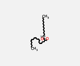 CCCCC/C=C\C/C=C\C/C=C\C/C=C\CCC([C]=O)C(=O)[14CH2]CCCCCCCCCCCCCC